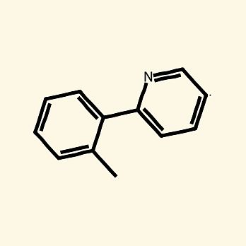 Cc1ccccc1-c1cc[c]cn1